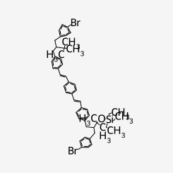 CC[Si](CC)(CC)OC(C)(C)C(Cc1ccc(Br)cc1)Cc1ccc(/C=C/c2ccc(/C=C/c3ccc(CC(Cc4ccc(Br)cc4)C(C)(C)C)cc3)cc2)cc1